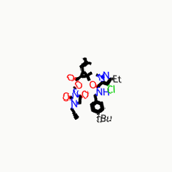 C#CCN1CC(=O)N(COC(=O)C2C(C=C(C)C)C2(C)C)C1=O.CCc1nn(C)c(C(=O)NCc2ccc(C(C)(C)C)cc2)c1Cl